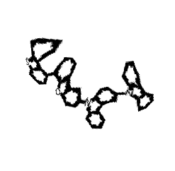 c1ccc2c(c1)sc1cccc(-c3cccc4c3oc3ccc(-n5c6ccccc6c6cc(-n7c8ccccc8c8ccccc87)ccc65)cc34)c12